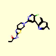 C=CC(=O)Nc1nc2c(s1)CN(c1cc(-c3ncc(C)cc3C)c(Cl)cn1)CC2